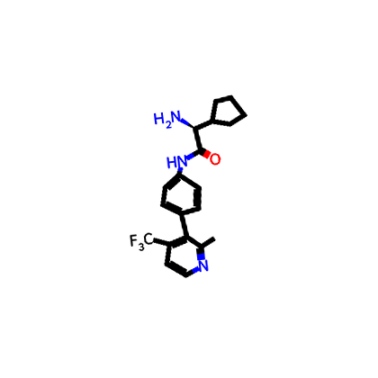 Cc1nccc(C(F)(F)F)c1-c1ccc(NC(=O)[C@@H](N)C2CCCC2)cc1